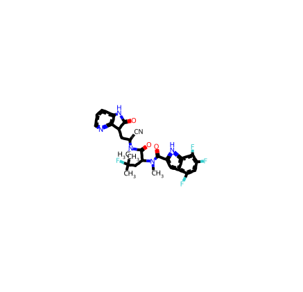 CN(C(=O)C(CC(C)(C)F)N(C)C(=O)c1cc2c(F)cc(F)c(F)c2[nH]1)C(C#N)CC1C(=O)Nc2cccnc21